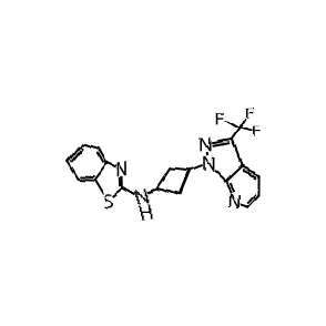 FC(F)(F)c1nn(C2CC(Nc3nc4ccccc4s3)C2)c2ncccc12